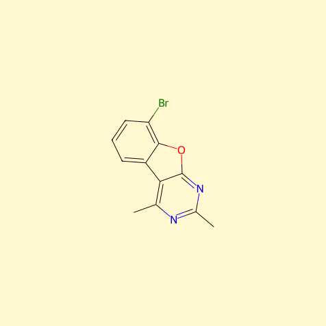 Cc1nc(C)c2c(n1)oc1c(Br)cccc12